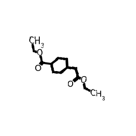 CCOC(=O)CC1CCC(C(=O)OCC)CC1